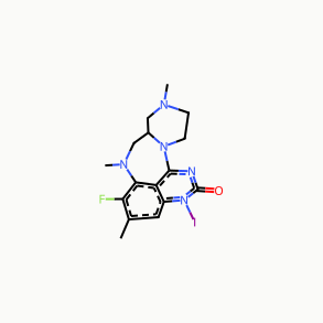 Cc1cc2c3c(nc(=O)n2I)N2CCN(C)CC2CN(C)c3c1F